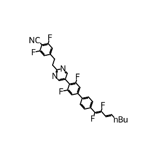 CCCC/C=C/C(F)=C(\F)c1ccc(-c2cc(F)c(-c3cnc(CCc4cc(F)c(C#N)c(F)c4)nc3)c(F)c2)cc1